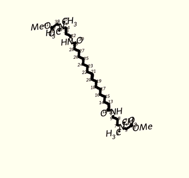 COC(=O)C[N+](C)(C)CCCNC(=O)CCCCCCC/C=C/CCCCCCCC(=O)NCCC[N+](C)(C)CC(=O)OC